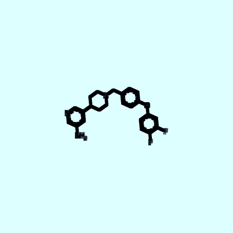 Nc1cncc(C2CCN(Cc3ccc(Oc4ccc(F)c(F)c4)cc3)CC2)c1